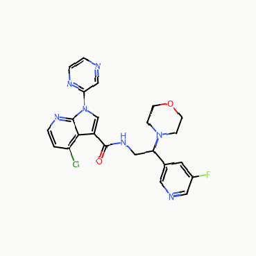 O=C(NCC(c1cncc(F)c1)N1CCOCC1)c1cn(-c2cnccn2)c2nccc(Cl)c12